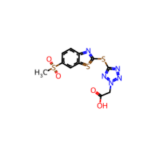 CS(=O)(=O)c1ccc2nc(Sc3nnn(CC(=O)O)n3)sc2c1